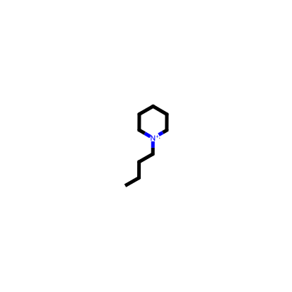 CCCC[N+]1CCCCC1